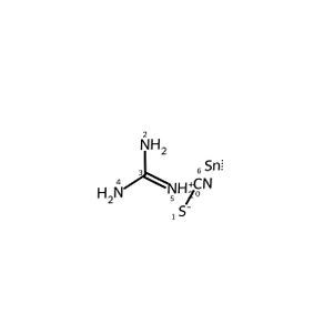 N#C[S-].NC(N)=[NH2+].[Sn]